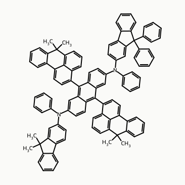 CC1(C)c2ccccc2-c2ccc(N(c3ccccc3)c3ccc4c(-c5ccc6c7c(cccc57)C(C)(C)c5ccccc5-6)c5cc(N(c6ccccc6)c6ccc7c(c6)C(c6ccccc6)(c6ccccc6)c6ccccc6-7)ccc5c(-c5ccc6c7c(cccc57)C(C)(C)c5ccccc5-6)c4c3)cc21